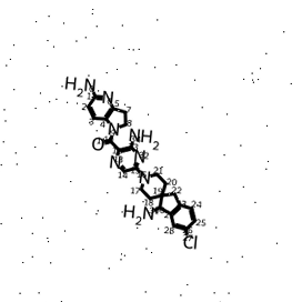 Nc1ccc2c(n1)CCN2C(=O)c1ncc(N2CCC3(CC2)Cc2ccc(Cl)cc2C3N)nc1N